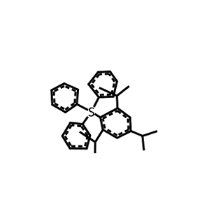 CC(C)c1cc(C(C)C)c(S(c2ccccc2)(c2ccccc2)c2ccccc2)c(C(C)C)c1